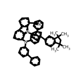 CC1(C)CC(C)(C)c2cc(-c3ccc(-n4c5c(C#N)cccc5c5cccc(N(c6cccc(-c7ccccc7)c6)c6cccc(-c7ccccc7)c6)c54)cc3)ccc21